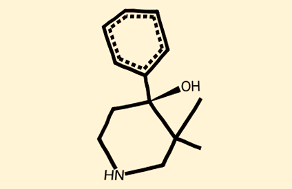 CC1(C)CNCC[C@]1(O)c1ccccc1